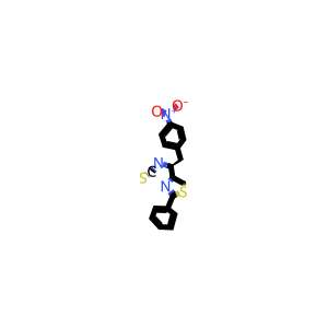 O=[N+]([O-])c1ccc(C[C@H](N=C=S)C2CSC(c3ccccc3)=N2)cc1